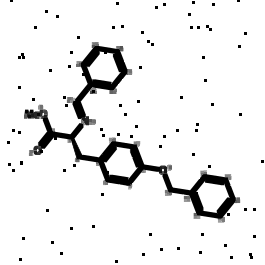 COC(=O)[C@H](Cc1ccc(OCc2ccccc2)cc1)N=Cc1ccccc1